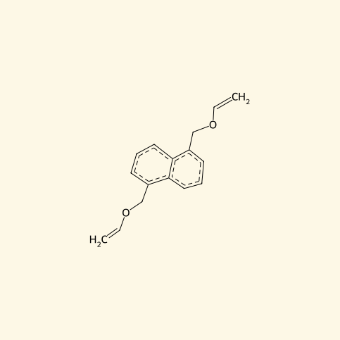 C=COCc1cccc2c(COC=C)cccc12